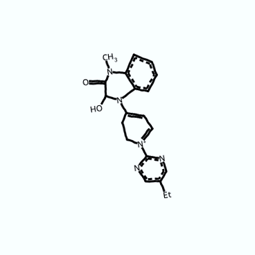 CCc1cnc([N+]2=CC=C(N3c4ccccc4N(C)C(=O)C3O)CC2)nc1